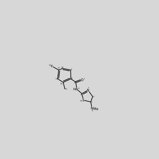 CNC1CN=C(NC(=O)c2ccc(F)cc2C)S1